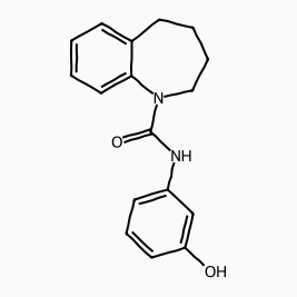 O=C(Nc1cccc(O)c1)N1CCCCc2ccccc21